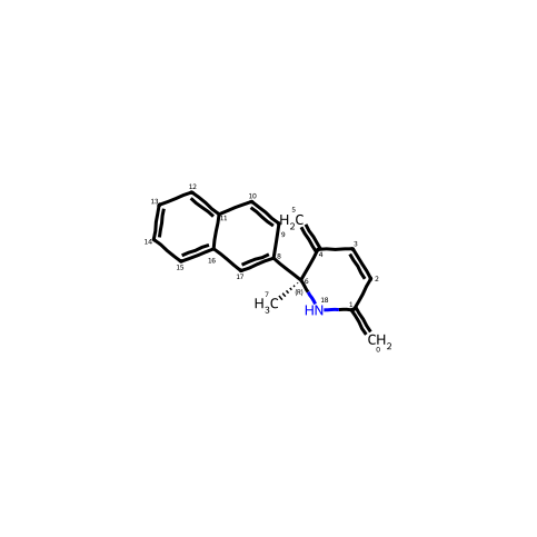 C=C1C=CC(=C)[C@](C)(c2ccc3ccccc3c2)N1